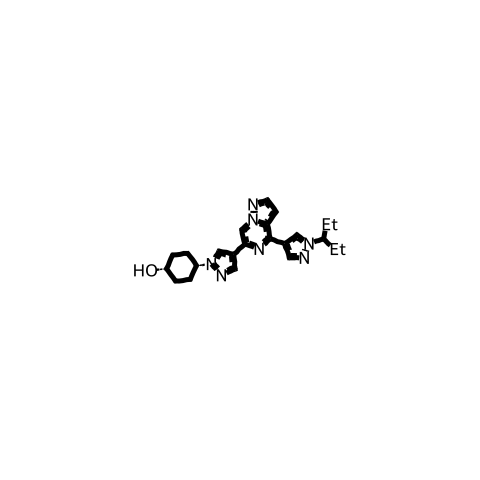 CCC(CC)n1cc(-c2nc(-c3cnn([C@H]4CC[C@@H](O)CC4)c3)cn3nccc23)cn1